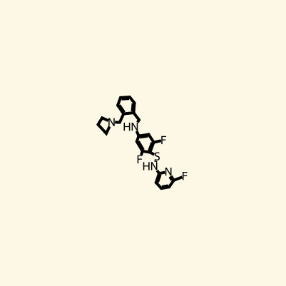 Fc1cccc(NSc2c(F)cc(NCc3ccccc3CN3CCC3)cc2F)n1